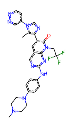 Cc1c(-c2cc3cnc(Nc4ccc(N5CCN(C)CC5)cc4)nc3n(CC(F)(F)F)c2=O)ncn1-c1ccnnc1